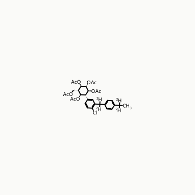 [2H]C([2H])(C)c1ccc(C([2H])([2H])c2cc([C@H]3[C@H](OC(C)=O)[C@@H](OC(C)=O)[C@H](OC(C)=O)[C@@H](COC(C)=O)[C@@H]3OC(C)=O)ccc2Cl)cc1